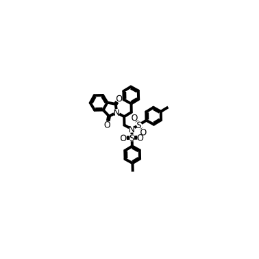 Cc1ccc(S(=O)(=O)N(CC(Cc2ccccc2)N2C(=O)c3ccccc3C2=O)S(=O)(=O)c2ccc(C)cc2)cc1